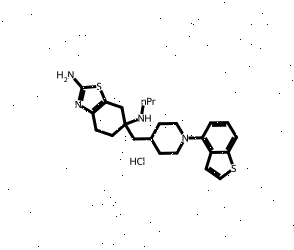 CCCNC1(CC2CCN(c3cccc4sccc34)CC2)CCc2nc(N)sc2C1.Cl